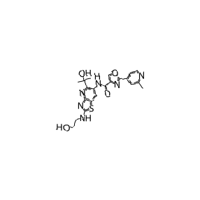 Cc1cc(-c2nc(C(=O)Nc3cc4sc(NCCO)nc4nc3C(C)(C)O)co2)ccn1